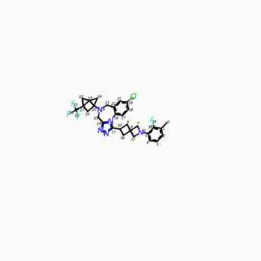 Cc1cccc(N2CC3(CC(c4nnc5n4-c4ccc(Cl)cc4CN(C46CC7(C(F)(F)F)CC47C6)C5)C3)C2)c1F